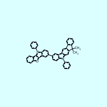 CC1(C)c2ccccc2-c2cc3c4cc(-c5ccc6c(c5)c5oc7ccccc7c5n6-c5ccccc5)ccc4n(-c4ccccc4)c3cc21